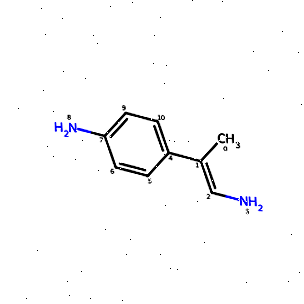 C/C(=C\N)c1ccc(N)cc1